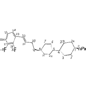 CCC[C@H]1CC[C@H]([C@H]2CC[C@H](CCC=Cc3cccc(F)c3F)CC2)CC1